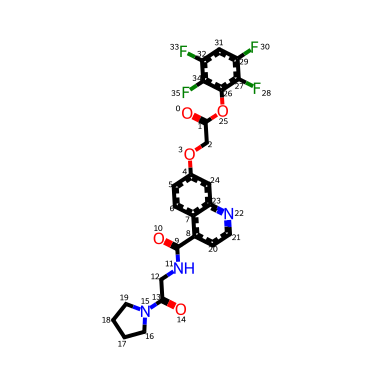 O=C(COc1ccc2c(C(=O)NCC(=O)N3CCCC3)ccnc2c1)Oc1c(F)c(F)cc(F)c1F